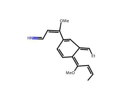 C\C=C/C(OC)=c1/ccc(/C(=C\C=N)OC)c/c1=C/CC